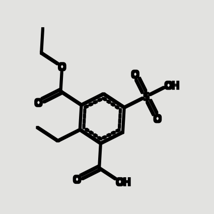 CCOC(=O)c1cc(S(=O)(=O)O)cc(C(=O)O)c1CC